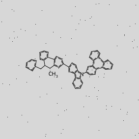 C[C@H]1c2cc(-c3ccc4c(c3)c3ccccc3n4-c3ccc4c5ccccc5c5ccccc5c4c3)ccc2-c2ccccc2C1Cc1ccccc1